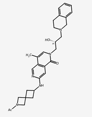 CC(=O)N1CC2(CC(Nc3cc4c(=O)n(C[C@H](O)CN5CCc6ccccc6C5)cc(C)c4cn3)C2)C1